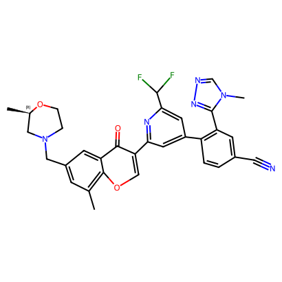 Cc1cc(CN2CCO[C@H](C)C2)cc2c(=O)c(-c3cc(-c4ccc(C#N)cc4-c4nncn4C)cc(C(F)F)n3)coc12